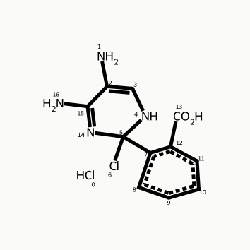 Cl.NC1=CNC(Cl)(c2ccccc2C(=O)O)N=C1N